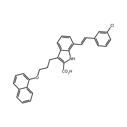 O=C(O)c1[nH]c2c(C=Cc3cccc(Cl)c3)cccc2c1CCCOc1cccc2ccccc12